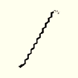 [C]#CCCCCCCCCCCCCCCCCCCCC[CH2]